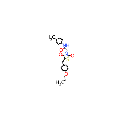 C=CCOc1ccc(/C=C2\SC(=O)N(CC(=O)Nc3ccc(C)cc3)C2=O)cc1